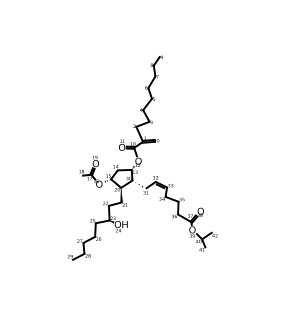 C=C(CCCCCCCC)C(=O)O[C@H]1C[C@@H](OC(C)=O)[C@H](CC[C@@H](O)CCCCC)[C@H]1C/C=C\CCCC(=O)OC(C)C